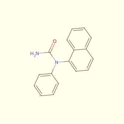 NC(=O)N(c1cc[c]cc1)c1cccc2ccccc12